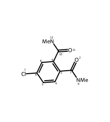 CNC(=O)c1ccc(Cl)cc1C(=O)NC